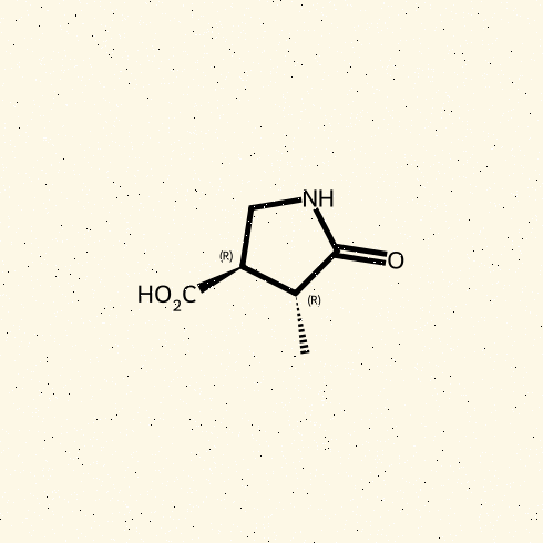 C[C@H]1C(=O)NC[C@@H]1C(=O)O